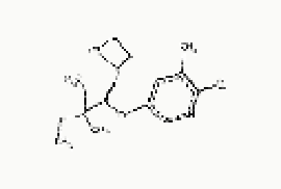 CCC(C)(C)C(Oc1cnc(Cl)c(C)c1)[C@@H]1CCN1